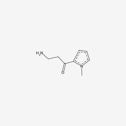 Cn1cccc1C(=O)CCN